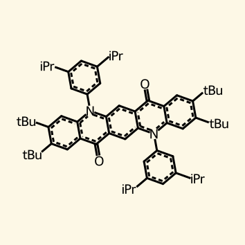 CC(C)c1cc(C(C)C)cc(-n2c3cc(C(C)(C)C)c(C(C)(C)C)cc3c(=O)c3cc4c(cc32)c(=O)c2cc(C(C)(C)C)c(C(C)(C)C)cc2n4-c2cc(C(C)C)cc(C(C)C)c2)c1